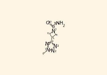 Cn1nnc(C2CN(C(N)=O)C2)n1